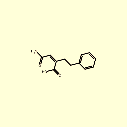 NC(=O)/C=C(/CCc1ccccc1)C(=O)O